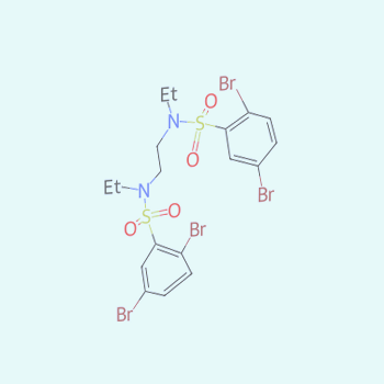 CCN(CCN(CC)S(=O)(=O)c1cc(Br)ccc1Br)S(=O)(=O)c1cc(Br)ccc1Br